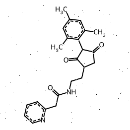 Cc1cc(C)c(C2C(=O)CC(CCNC(=O)Cc3ccccn3)C2=O)c(C)c1